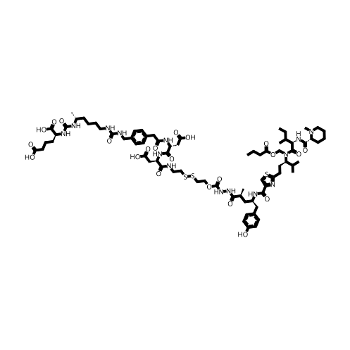 CCCC(=O)OCN(C(=O)[C@@H](NC(=O)[C@H]1CCCCN1C)C(C)CC)[C@H](CCc1nc(C(=O)N[C@@H](Cc2ccc(O)cc2)C[C@H](C)C(=O)NNC(=O)OCCSSCCNC(=O)[C@@H](CC(=O)O)NC(=O)[C@@H](CC(=O)O)NC(=O)Cc2ccc(CNC(=O)NCCCC[C@@H](C)NC(=O)N[C@@H](CCCC(=O)O)C(=O)O)cc2)cs1)C(C)C